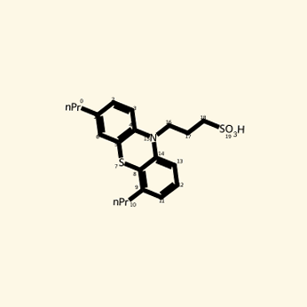 CCCc1ccc2c(c1)Sc1c(CCC)cccc1N2CCCS(=O)(=O)O